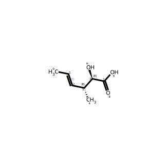 C/C=C/[C@@H](C)[C@@H](O)C(=O)O